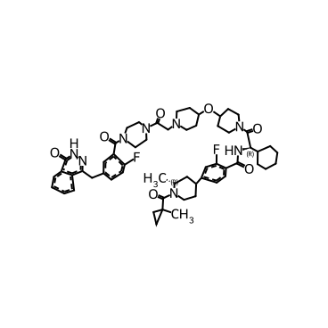 C[C@@H]1CC(c2ccc(C(=O)N[C@@H](C(=O)N3CCC(OC4CCN(CC(=O)N5CCN(C(=O)c6cc(Cc7n[nH]c(=O)c8ccccc78)ccc6F)CC5)CC4)CC3)C3CCCCC3)c(F)c2)CCN1C(=O)C1(C)CC1